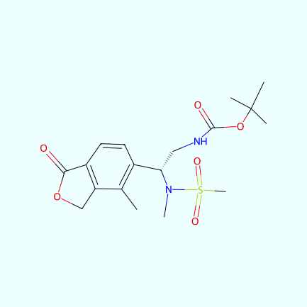 Cc1c([C@H](CNC(=O)OC(C)(C)C)N(C)S(C)(=O)=O)ccc2c1COC2=O